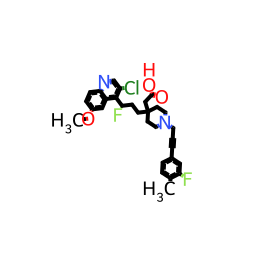 COc1ccc2ncc(Cl)c([C@H](F)CCC3(CC(=O)O)CCN(CC#Cc4ccc(C)c(F)c4)CC3)c2c1